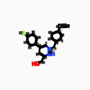 COc1ccc(CN2C=C(c3ccc(F)cc3)C=C(CO)N2)cc1